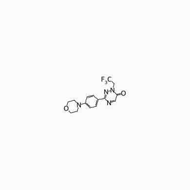 O=c1cnc(-c2ccc(N3CCOCC3)cc2)nn1CC(F)(F)F